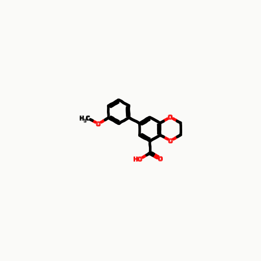 COc1cccc(-c2cc3c(c(C(=O)O)c2)OCCO3)c1